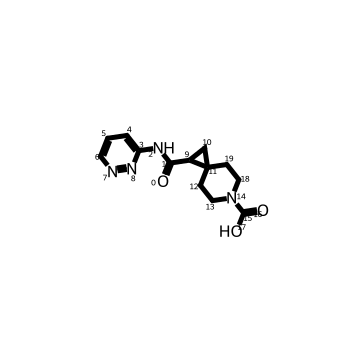 O=C(Nc1cccnn1)C1CC12CCN(C(=O)O)CC2